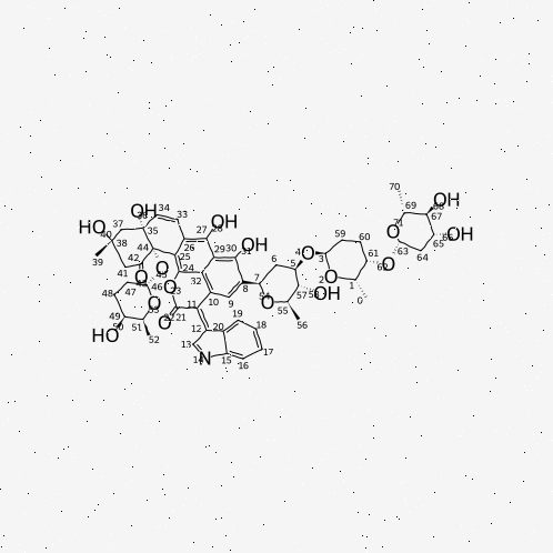 C[C@@H]1O[C@@H](O[C@@H]2C[C@H](c3cc4/c(=C5/C=Nc6ccccc65)c(=O)oc5c6c(c(O)c(c3O)c54)C=C[C@]3(O)C[C@@](C)(O)CC(=O)[C@]63O[C@H]3CC[C@H](O)[C@H](C)O3)O[C@H](C)[C@H]2O)CC[C@@H]1O[C@H]1C[C@@H](O)[C@H](O)[C@@H](C)O1